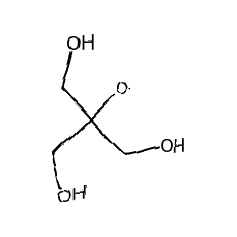 [O]C(CO)(CO)CO